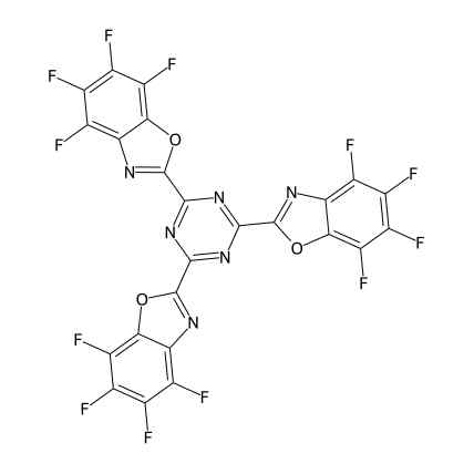 Fc1c(F)c(F)c2oc(-c3nc(-c4nc5c(F)c(F)c(F)c(F)c5o4)nc(-c4nc5c(F)c(F)c(F)c(F)c5o4)n3)nc2c1F